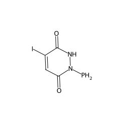 O=c1[nH]n(P)c(=O)cc1I